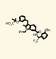 CCCCc1cccc([C@@H](NC(=O)c2ccc3c(Cc4cccc(OC(C)(C)C(=O)O)c4)c(C)n(CC(C)C)c3c2)C(F)(F)F)c1